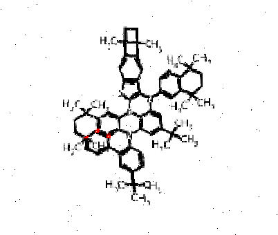 CC(C)(C)c1ccc(N2c3cc4c(cc3B3c5sc6cc7c(cc6c5N(c5ccc6c(c5)C(C)(C)CCC6(C)C)c5cc(C(C)(C)C)cc2c53)C2(C)CCC72C)C(C)(C)CCC4(C)C)c(-c2ccccc2)c1